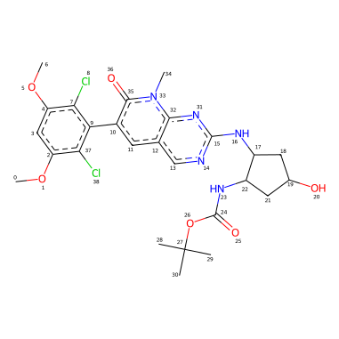 COc1cc(OC)c(Cl)c(-c2cc3cnc(NC4CC(O)CC4NC(=O)OC(C)(C)C)nc3n(C)c2=O)c1Cl